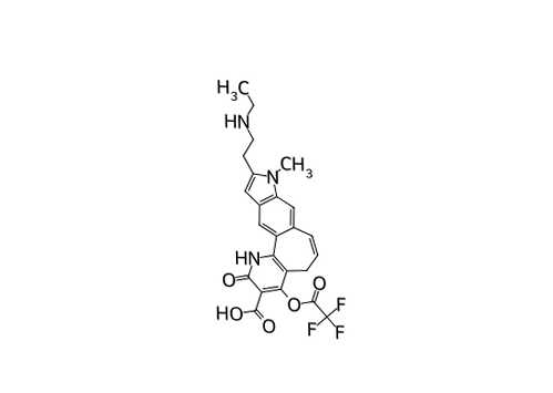 CCNCCc1cc2cc3c(cc2n1C)C=CCc1c-3[nH]c(=O)c(C(=O)O)c1OC(=O)C(F)(F)F